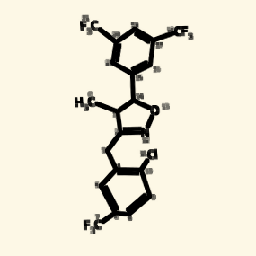 CC1C(Cc2cc(C(F)(F)F)ccc2Cl)=NOC1c1cc(C(F)(F)F)cc(C(F)(F)F)c1